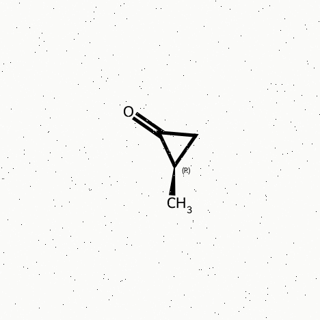 C[C@@H]1CC1=O